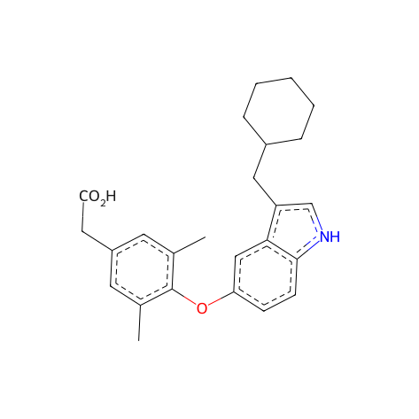 Cc1cc(CC(=O)O)cc(C)c1Oc1ccc2[nH]cc(CC3CCCCC3)c2c1